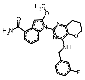 COc1cc2c(C(N)=O)cccc2n1-c1nc2c(c(NCc3cccc(F)c3)n1)OCCC2